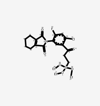 CCO[Si](CCC(=S)c1cc(N2C(=O)C3=C(CCCC3)C2=O)c(F)cc1Cl)(OCC)OCC